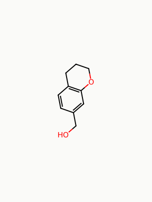 OCc1ccc2c(c1)OCCC2